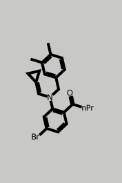 CCCC(=O)c1ccc(Br)cc1N(C=C1CC1)Cc1ccc(C)c(C)c1